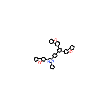 c1ccc(-c2nc(-c3ccc(-c4cc(-c5ccc6oc7ccccc7c6c5)cc(-c5ccc6oc7ccccc7c6c5)c4)cc3)cc(-c3ccc4c(c3)oc3ccccc34)n2)cc1